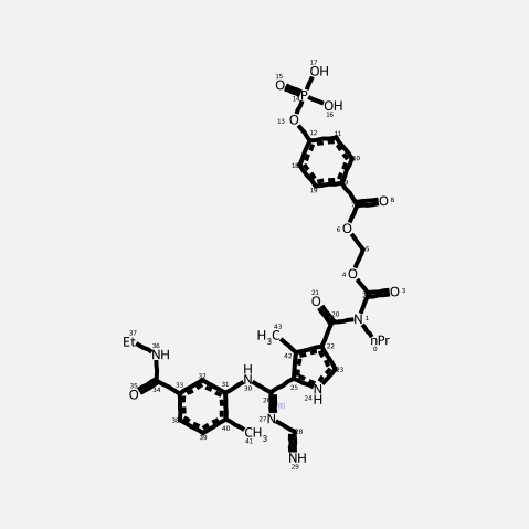 CCCN(C(=O)OCOC(=O)c1ccc(OP(=O)(O)O)cc1)C(=O)c1c[nH]c(/C(=N\C=N)Nc2cc(C(=O)NCC)ccc2C)c1C